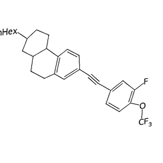 CCCCCCC1CCC2c3ccc(C#Cc4ccc(OC(F)(F)F)c(F)c4)cc3CCC2C1